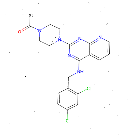 CCC(=O)N1CCN(c2nc(NCc3ccc(Cl)cc3Cl)c3cccnc3n2)CC1